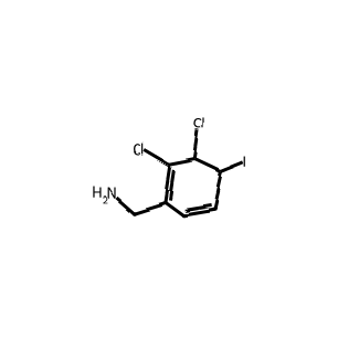 NCC1=C(Cl)C(Cl)C(I)C=C1